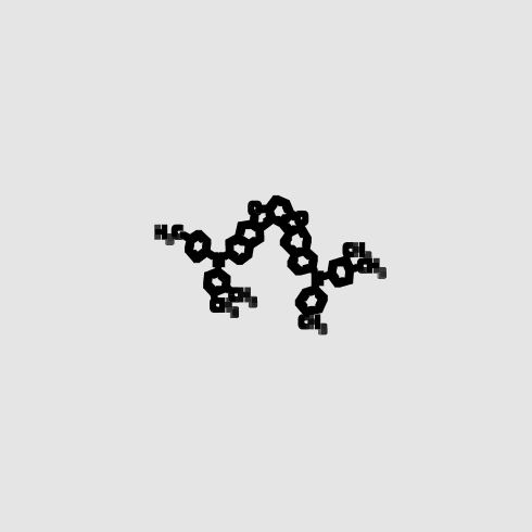 Cc1ccc(N(c2ccc(C)c(C)c2)c2ccc3cc4c(cc3c2)oc2ccc3oc5cc6cc(N(c7ccc(C)cc7)c7ccc(C)c(C)c7)ccc6cc5c3c24)cc1